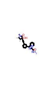 C[C@@H]1[C@H](C)N(C)C(=O)[C@]1(O)C#Cc1cccc(-c2nc(C(N)=O)n3ccccc23)c1